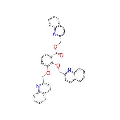 O=C(OCc1ccc2ccccc2n1)c1cccc(OCc2ccc3ccccc3n2)c1OCc1ccc2ccccc2n1